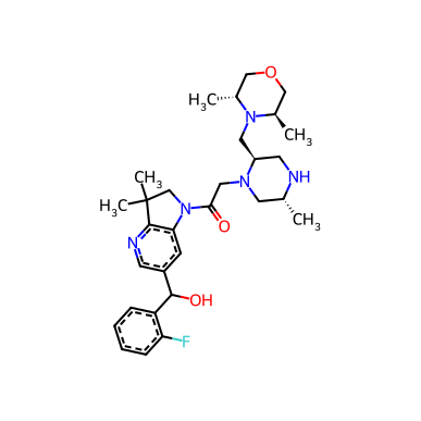 C[C@@H]1CN(CC(=O)N2CC(C)(C)c3ncc(C(O)c4ccccc4F)cc32)[C@@H](CN2[C@H](C)COC[C@H]2C)CN1